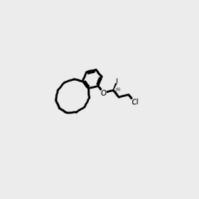 ClCC[C@H](I)Oc1cccc2c1CCCCCCCCC2